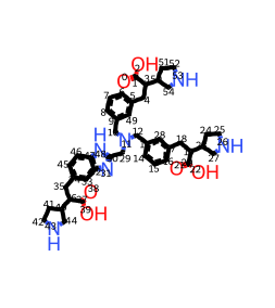 O=C(O)C(Cc1cccc(CN(Cc2cccc(CC(C(=O)O)C3CCNC3)c2)Cc2nc3cc(CC(C(=O)O)C4CCNC4)ccc3[nH]2)c1)C1CCNC1